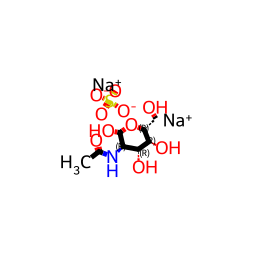 CC(=O)N[C@H]1C(O)O[C@H](CO)[C@H](O)[C@@H]1O.O=S(=O)([O-])[O-].[Na+].[Na+]